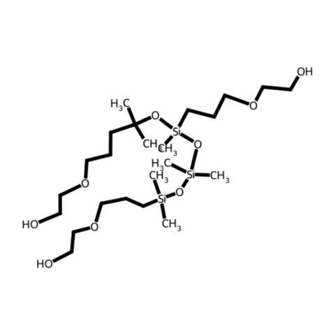 CC(C)(CCCOCCO)O[Si](C)(CCCOCCO)O[Si](C)(C)O[Si](C)(C)CCCOCCO